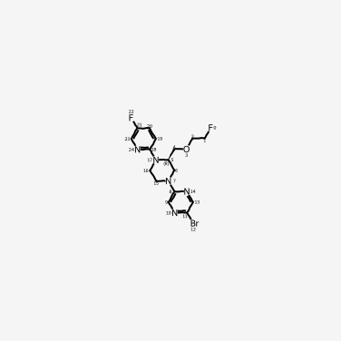 FCCOC[C@H]1CN(c2cnc(Br)cn2)CCN1c1ccc(F)cn1